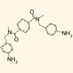 CN(Cc1ccc(N)cc1)C(=O)c1ccc(C(=O)N(C)Cc2ccc(N)cc2)cc1